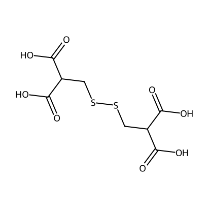 O=C(O)C(CSSCC(C(=O)O)C(=O)O)C(=O)O